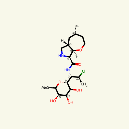 CSC1O[C@H]([C@H](NC(=O)[C@H]2NC[C@@H]3C[C@H](C(C)C)CCO[C@H]32)[C@H](C)Cl)C(O)[C@@H](O)[C@H]1O